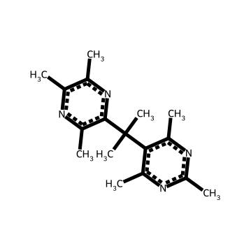 Cc1nc(C)c(C(C)(C)c2nc(C)c(C)nc2C)c(C)n1